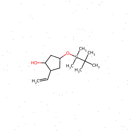 C=CC1CC(O[Si](C)(C)C(C)(C)C)CC1O